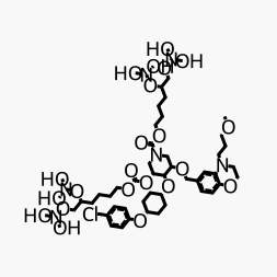 COCCCN1CCOc2ccc(COC3CN(C(=O)OCCCCC(CON(O)O)ON(O)O)CC(OC(=O)OCCCCC(CON(O)O)ON(O)O)C3OC3CCC(Oc4ccc(Cl)cc4)CC3)cc21